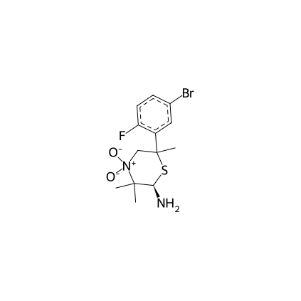 CC1(c2cc(Br)ccc2F)C[N+]([O-])([O-])C(C)(C)[C@H](N)S1